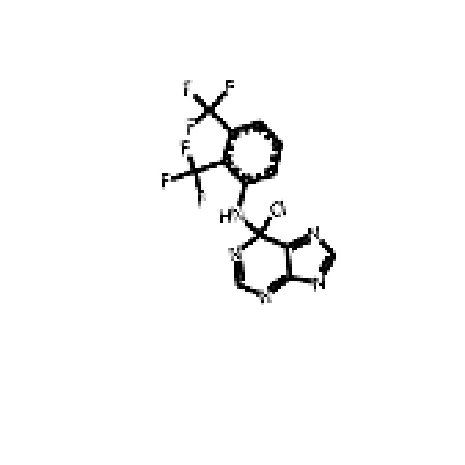 FC(F)(F)c1cccc(NC2(Cl)N=CN=C3N=CN=C32)c1C(F)(F)F